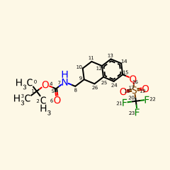 CC(C)(C)OC(=O)NCC1CCc2ccc(OS(=O)(=O)C(F)(F)F)cc2C1